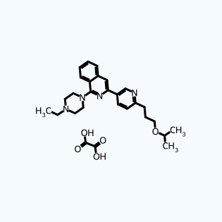 CCN1CCN(c2nc(-c3ccc(CCCOC(C)C)nc3)cc3ccccc23)CC1.O=C(O)C(=O)O